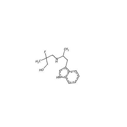 CC(Cc1c[nH]c2ccccc12)NCC(C)(F)CO